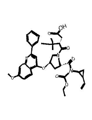 C=CC1CC1N(C(=O)OCC)C(=O)[C@@H]1C[C@@H](Oc2cc(-c3ccccc3)nc3cc(OC)ccc23)CN1C(=O)[C@@H](CC(=O)O)C(C)(C)C